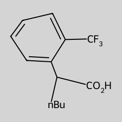 CCCCC(C(=O)O)c1ccccc1C(F)(F)F